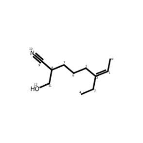 C/C=C(/CC)CCCC(C#N)CO